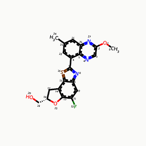 COc1cnc2c(-c3nc4cc(F)c5c(c4s3)C[C@@H](CO)O5)cc(C)cc2n1